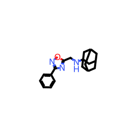 c1ccc(-c2noc(CNC34CC5CC(CC(C5)C3)C4)n2)cc1